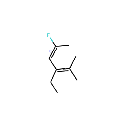 CCC(/C=C(\C)F)=C(C)C